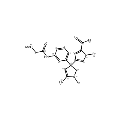 CCC(=O)c1cc(C2(c3cccc(NC(=O)COC)c3)CN(C)C(N)=N2)cn1CC